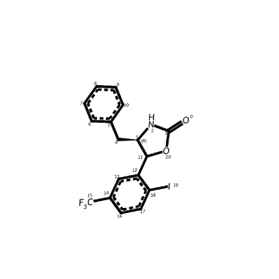 O=C1N[C@H](Cc2ccccc2)C(c2cc(C(F)(F)F)ccc2I)O1